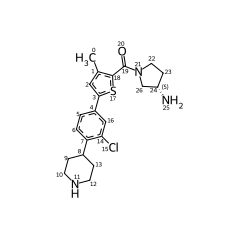 Cc1cc(-c2ccc(C3CCNCC3)c(Cl)c2)sc1C(=O)N1CC[C@H](N)C1